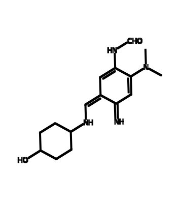 CN(C)C1=CC(=N)/C(=C\NC2CCC(O)CC2)C=C1NC=O